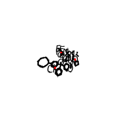 CC(C)CC(C)(C(=O)N(C)[C@H](C(=O)N[C@@H](CC(=O)OC(c1ccccc1)(c1ccc(C2CCCCCCCCC2)cc1)c1ccccc1Cl)C(=O)N1CCCC1)C(C)C)N(C)C(=O)C(F)(F)F